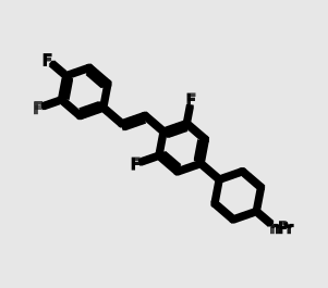 CCCC1CCC(c2cc(F)c(/C=C/c3ccc(F)c(F)c3)c(F)c2)CC1